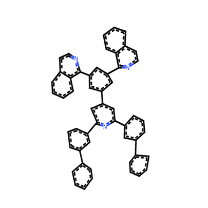 c1ccc(-c2cccc(-c3cc(-c4cc(-c5nccc6ccccc56)cc(-c5nccc6ccccc56)c4)cc(-c4cccc(-c5ccccc5)c4)n3)c2)cc1